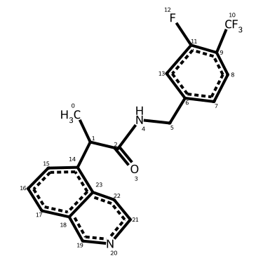 CC(C(=O)NCc1ccc(C(F)(F)F)c(F)c1)c1cccc2cnccc12